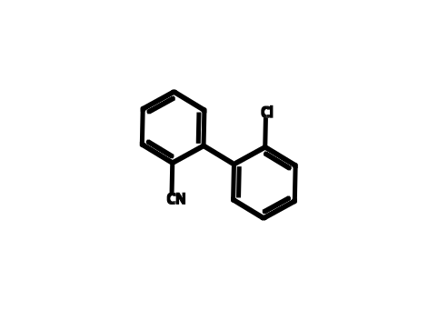 N#Cc1ccccc1-c1ccccc1Cl